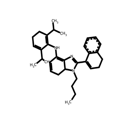 CCCCN1C(C2=CCCc3ccccc32)=NC2=C(NC3=C(C(C)C)CCC=C3C(C)C)C=CCC21